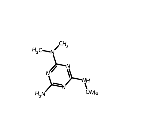 CONc1nc(N)nc(N(C)C)n1